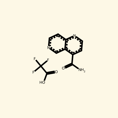 NC(=O)c1ccnc2ccncc12.O=C(O)C(F)(F)F